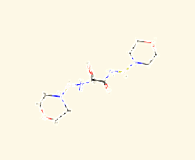 O=C(NSN1CCOCC1)C(=O)NSN1CCOCC1